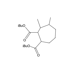 CC(C)COC(=O)C1CCCC(C)C(C)C1C(=O)OCC(C)C